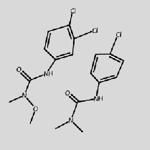 CN(C)C(=O)Nc1ccc(Cl)cc1.CON(C)C(=O)Nc1ccc(Cl)c(Cl)c1